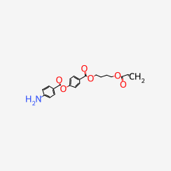 C=CC(=O)OCCCCOC(=O)c1ccc(OC(=O)c2ccc(N)cc2)cc1